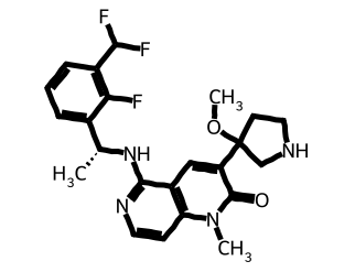 COC1(c2cc3c(N[C@H](C)c4cccc(C(F)F)c4F)nccc3n(C)c2=O)CCNC1